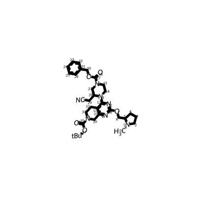 CN1CCCC1COc1nc2c(c(N3CCN(C(=O)OCc4ccccc4)CC3CC#N)n1)CCN(C(=O)OC(C)(C)C)C2